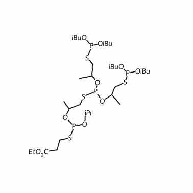 CCOC(=O)CCSP(OC(C)C)OC(C)CSP(OC(C)CSP(OCC(C)C)OCC(C)C)OC(C)CSP(OCC(C)C)OCC(C)C